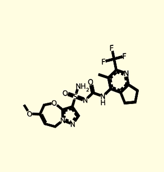 COC1=CCn2ncc(S(N)(=O)=NC(=O)Nc3c(C)c(C(F)(F)F)nc4c3CCC4)c2OC1